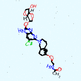 CC(=O)NCCOc1ccc2c(c1)CCN(c1nc3nc(O[C@@H]4CO[C@H]5[C@@H]4OC[C@H]5O)[nH]c3cc1Cl)C2